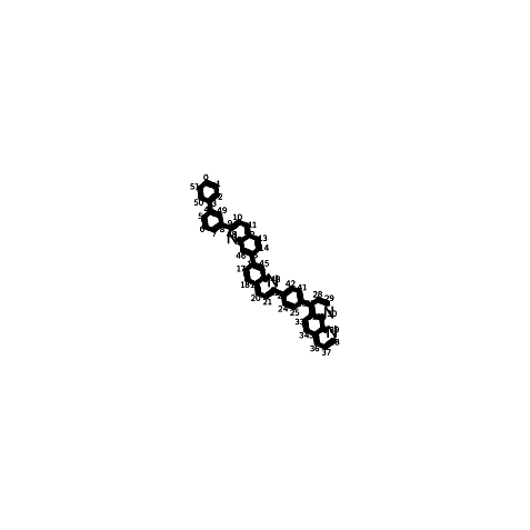 c1ccc(-c2cccc(-c3ccc4ccc(-c5ccc6ccc(-c7ccc(-c8ccnc9c8ccc8cccnc89)cc7)nc6c5)cc4n3)c2)cc1